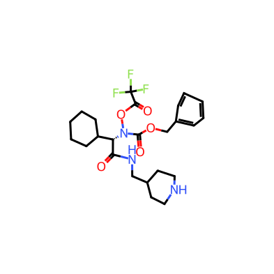 O=C(NCC1CCNCC1)[C@H](C1CCCCC1)N(OC(=O)C(F)(F)F)C(=O)OCc1ccccc1